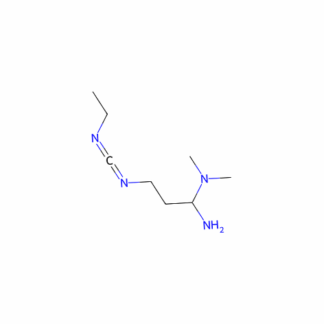 CCN=C=NCCC(N)N(C)C